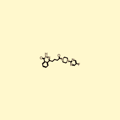 O=C(CCCc1n[nH]c(=O)c2ccccc12)N1CCN(c2ncc(F)cn2)CC1